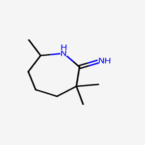 CC1CCCC(C)(C)C(=N)N1